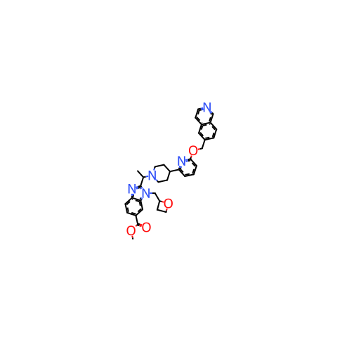 COC(=O)c1ccc2nc(C(C)N3CCC(c4cccc(OCc5ccc6cnccc6c5)n4)CC3)n(CC3CCO3)c2c1